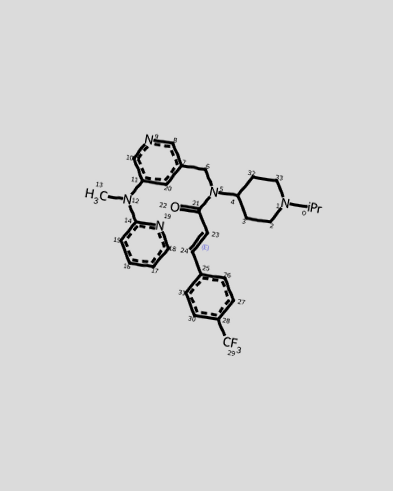 CC(C)N1CCC(N(Cc2cncc(N(C)c3ccccn3)c2)C(=O)/C=C/c2ccc(C(F)(F)F)cc2)CC1